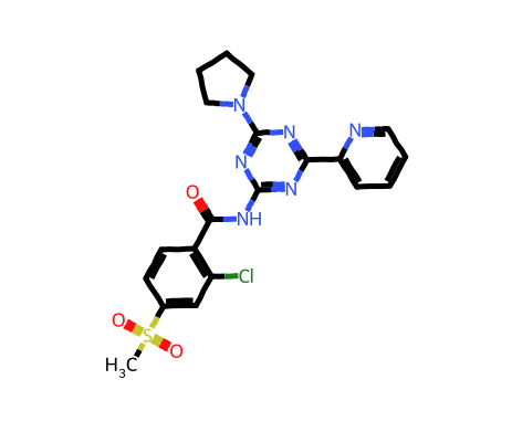 CS(=O)(=O)c1ccc(C(=O)Nc2nc(-c3ccccn3)nc(N3CCCC3)n2)c(Cl)c1